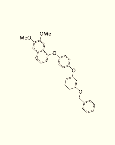 COc1cc2nccc(Oc3ccc(OC4=CCCC(OCc5ccccc5)=C4)cc3)c2cc1OC